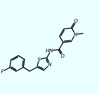 Cn1cc(C(=O)Nc2ncc(Cc3cccc(F)c3)s2)ccc1=O